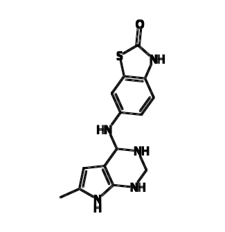 Cc1cc2c([nH]1)NCNC2Nc1ccc2[nH]c(=O)sc2c1